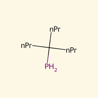 CCCC(P)(CCC)CCC